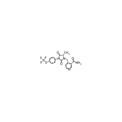 CC1C(=O)N(c2ccc(SC(F)(F)F)cc2)C(=O)N1Cc1ccncc1C(N)=O